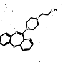 OCCN1CCN(C2=Nc3ccccc3SC3C=CC=CC23)CC1